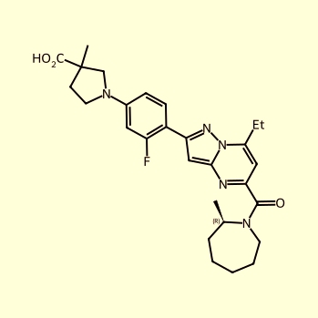 CCc1cc(C(=O)N2CCCCC[C@H]2C)nc2cc(-c3ccc(N4CCC(C)(C(=O)O)C4)cc3F)nn12